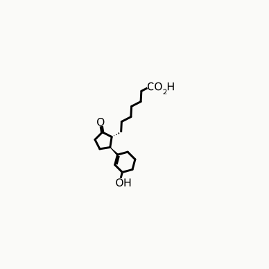 O=C(O)CCCCCC[C@H]1C(=O)CC[C@@H]1C1=CC(O)CCC1